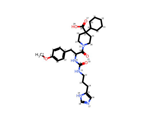 COc1ccc(CC(NC(=O)NCCCc2cnc[nH]2)C(=O)N2CCC(C(=O)O)(C3CCCCC3)CC2)cc1